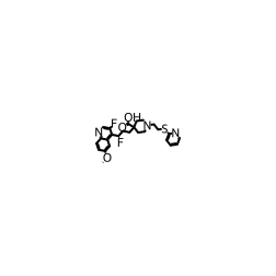 COc1ccc2ncc(F)c([C@@H](F)CCC3(C(=O)O)CCN(CCSc4ccccn4)CC3)c2c1